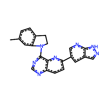 Cc1ccc2c(c1)N(c1ncnc3ccc(-c4cnc5[nH]ncc5c4)nc13)CC2